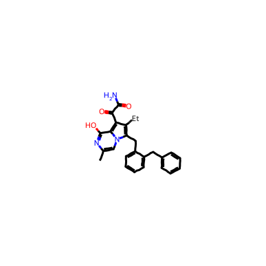 CCc1c(C(=O)C(N)=O)c2c(O)nc(C)cn2c1Cc1ccccc1Cc1ccccc1